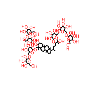 CC(CCC(OC1OC(COC2OC(COC3OC(CO)C(O)C(O)C3O)C(O)C(O)C2O)C(O)C(O)C1O)C(C)(C)O)C1CCC2(C)C3CC=C4C(CCC(O)C4(C)COC4OC(COC5OC(CO)C(O)C(O)C5O)C(O)C(O)C4OC4OC(CO)C(OC5OC(CO)C(O)C(O)C5O)C(O)C4O)C3(C)CCC12C